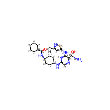 Cc1cc(Nc2nc(NC3CCC(NC(=O)C4CCCCC4)CC3)cnc2C(N)O)sn1